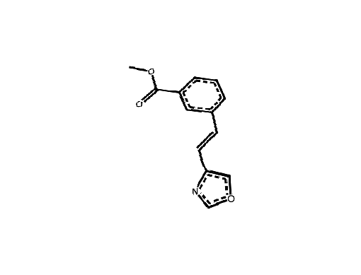 COC(=O)c1cccc(/C=C/c2cocn2)c1